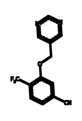 N#Cc1ccc(C(F)(F)F)c(OCc2cncnc2)c1